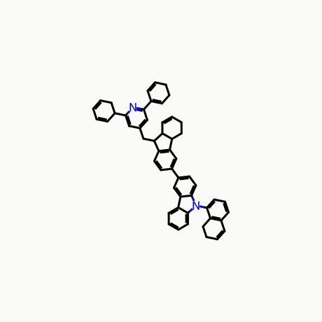 C1=CCC(c2cc(CC3c4ccc(-c5ccc6c(c5)c5ccccc5n6-c5cccc6c5CCC=C6)cc4C4CCC=CC43)cc(C3=CCCC=C3)n2)C=C1